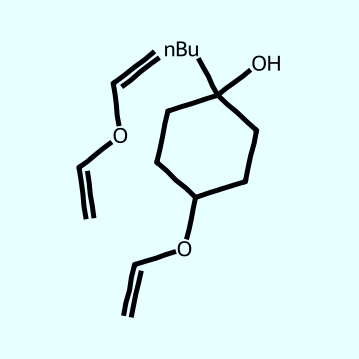 C=COC1CCC(O)(CCCC)CC1.C=COC=C